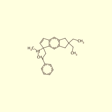 CCC1(CC)Cc2cc3c(cc2C1)[C](CCc1ccccc1)([Hf]([CH3])[CH3])C=C3